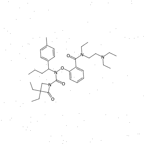 CCCC(c1ccc(C)cc1)N(Oc1ccccc1C(=O)N(CC)CCN(CC)CC)C(=O)N1CC(CC)(CC)C1=O